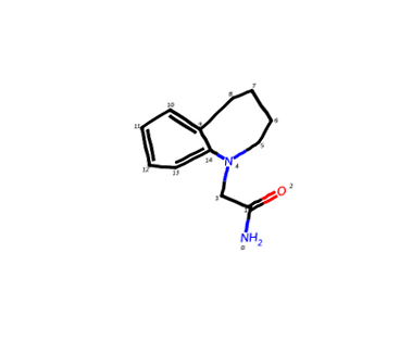 NC(=O)CN1CCCCc2ccccc21